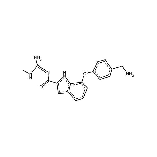 CNC(N)=NC(=O)c1cc2cccc(Oc3ccc(CN)cc3)c2[nH]1